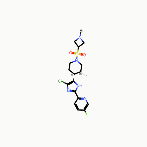 CC(=O)N1CC(S(=O)(=O)N2CC[C@@H](c3[nH]c(-c4ccc(F)cn4)nc3Cl)[C@@H](C)C2)C1